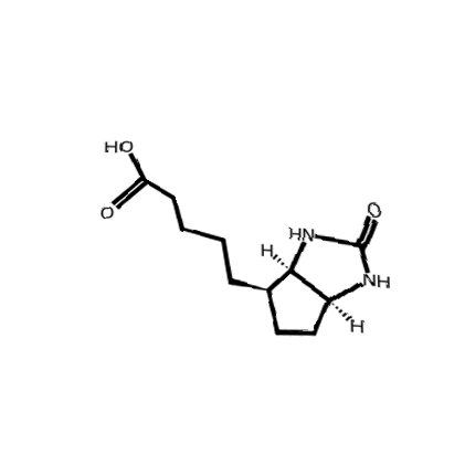 O=C(O)CCCC[C@@H]1CC[C@@H]2NC(=O)N[C@H]12